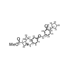 COC(=O)C1CN(Cc2ccc(OCc3ccc(C4CCCC4)c(C(F)(F)F)c3)cc2C2CC2)C1